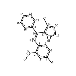 COc1cc(C)ccc1N=C(c1ccccc1)c1occc1C